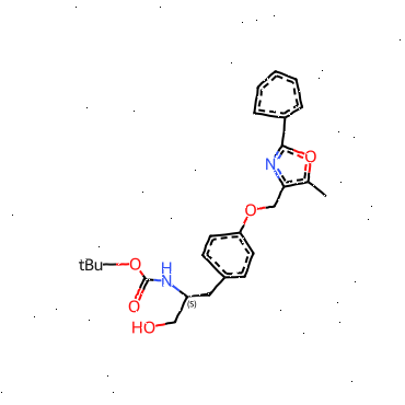 Cc1oc(-c2ccccc2)nc1COc1ccc(C[C@@H](CO)NC(=O)OC(C)(C)C)cc1